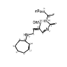 C=C(/N=C\C(=C/CNC1CCCCCC1)OC)NC(C)CCCCC